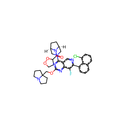 O=C(C1CCOO1)N1[C@@H]2CC[C@H]1CN(c1nc(OCC34CCCN3CCC4)nc3c(F)c(-c4cccc5cccc(Cl)c45)ncc13)C2